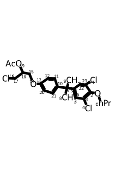 [CH2][CH]COc1c(Cl)cc(C(C)(C)c2ccc(OCC(CCl)OC(C)=O)cc2)cc1Cl